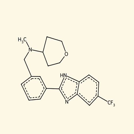 CN(Cc1cccc(-c2nc3cc(C(F)(F)F)ccc3[nH]2)c1)C1CCOCC1